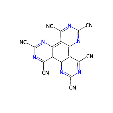 N#CC1=NC2=c3c(C#N)nc(C#N)nc3=C3C(C#N)=NC(C#N)=NC3C2C(C#N)=N1